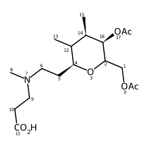 CC(=O)OCC1O[C@@H](CCN(C)CCC(=O)O)C(C)[C@@H](C)[C@H]1OC(C)=O